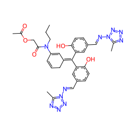 CCCN(C(=O)COC(C)=O)C1=CC(=C(c2cc(C=Nn3nnnc3C)ccc2O)c2cc(C=Nn3nnnc3C)ccc2O)CC=C1